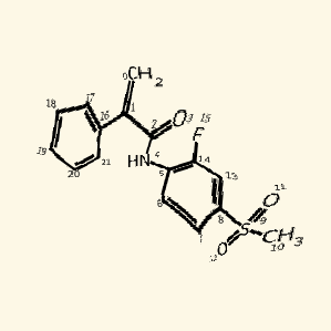 C=C(C(=O)Nc1ccc(S(C)(=O)=O)cc1F)c1ccccc1